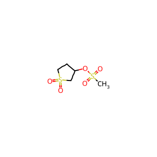 CS(=O)(=O)OC1CCS(=O)(=O)C1